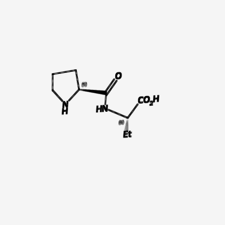 CC[C@H](NC(=O)[C@@H]1CCCN1)C(=O)O